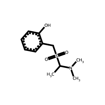 CC(N(C)C)S(=O)(=O)Cc1ccccc1O